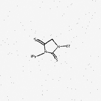 CCN1CC(=S)N(C(C)C)C1=S